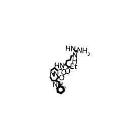 CCC(=O)C(CCCNC(=N)N)NC(=O)[C@@H]1CCN2CC[C@@](N)(Cc3ccccc3)C(=O)N12